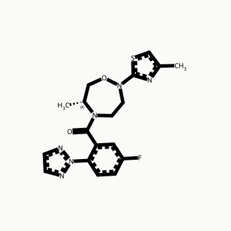 Cc1csc(N2CCN(C(=O)c3cc(F)ccc3-n3nccn3)[C@H](C)CO2)n1